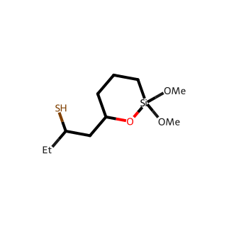 CCC(S)CC1CCC[Si](OC)(OC)O1